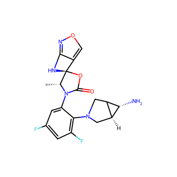 C[C@H]1N(c2cc(F)cc(F)c2N2CC3[C@H](N)[C@H]3C2)C(=O)O[C@]12Nc1nocc12